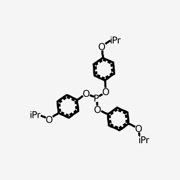 CC(C)Oc1ccc(OP(Oc2ccc(OC(C)C)cc2)Oc2ccc(OC(C)C)cc2)cc1